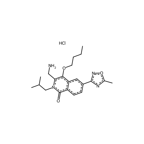 CCCCOc1c(CN)n(CC(C)C)c(=O)c2ccc(-c3noc(C)n3)cc12.Cl